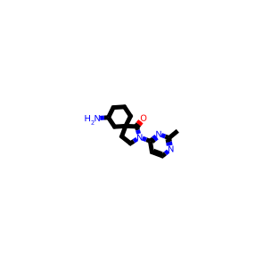 Cc1nccc(N2CCC3(CCCC(N)C3)C2=O)n1